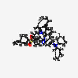 CC12C=Cc3c(c4ccccc4n3-c3ccccc3)C1c1ccc3c4ccccc4n(-c4ccccc4)c3c1N2c1ccc(S(=O)(=O)c2ccc(C#N)cc2)cc1